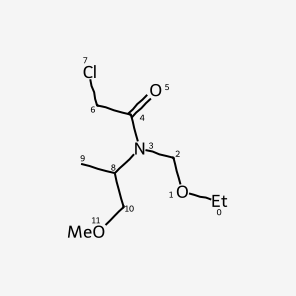 CCOCN(C(=O)CCl)C(C)COC